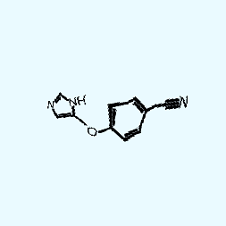 N#Cc1ccc(Oc2cnc[nH]2)cc1